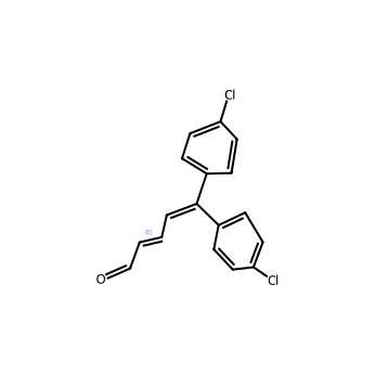 O=C/C=C/C=C(c1ccc(Cl)cc1)c1ccc(Cl)cc1